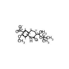 COc1cc2c(cc1[N+](=O)[O-])CCC(C(=O)OC(C)(C)C)C(=O)N2